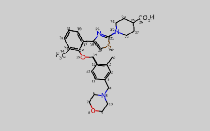 Cc1cc(CN2CCOCC2)ccc1COc1c(-c2csc(N3CCC(C(=O)O)CC3)n2)cccc1C(F)(F)F